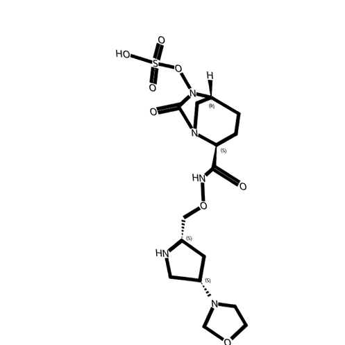 O=C(NOC[C@@H]1C[C@H](N2CCOC2)CN1)[C@@H]1CC[C@@H]2CN1C(=O)N2OS(=O)(=O)O